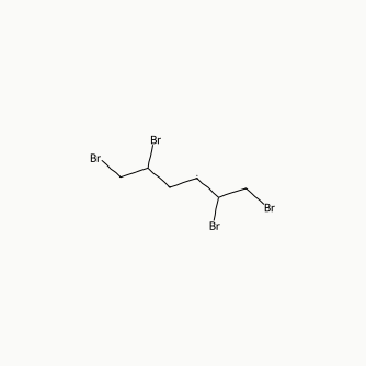 BrCC(Br)[CH]CC(Br)CBr